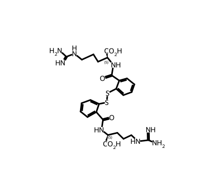 N=C(N)NCCC[C@H](NC(=O)c1ccccc1SSc1ccccc1C(=O)N[C@@H](CCCNC(=N)N)C(=O)O)C(=O)O